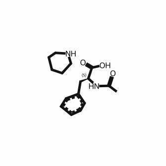 C1CCNCC1.CC(=O)N[C@@H](Cc1ccccc1)C(=O)O